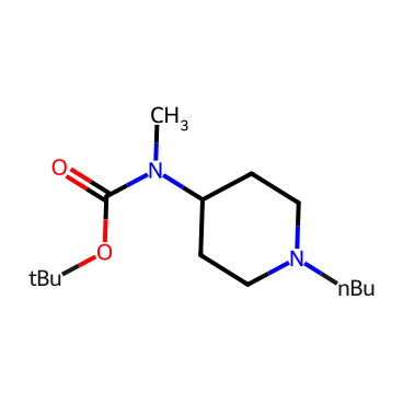 CCCCN1CCC(N(C)C(=O)OC(C)(C)C)CC1